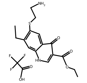 CCOC(=O)c1c[nH]c2cc(CC)c(SCCN)cc2c1=O.O=C(O)C(F)(F)F